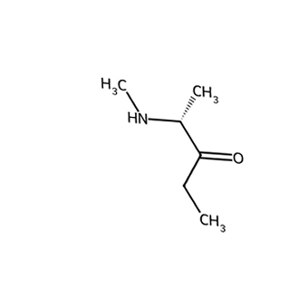 CCC(=O)[C@@H](C)NC